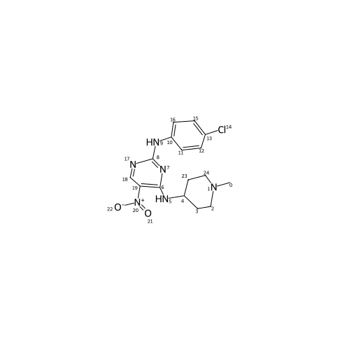 CN1CCC(Nc2nc(Nc3ccc(Cl)cc3)ncc2[N+](=O)[O-])CC1